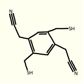 N#CCc1cc(CS)c(CC#N)cc1CS